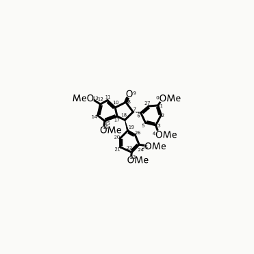 COc1cc(OC)cc([C@H]2C(=O)c3cc(OC)cc(OC)c3[C@@H]2c2ccc(OC)c(OC)c2)c1